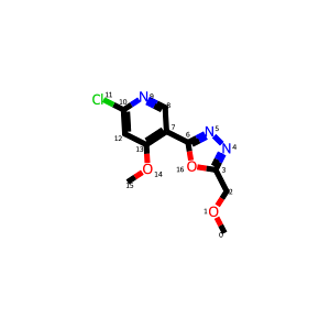 COCc1nnc(-c2cnc(Cl)cc2OC)o1